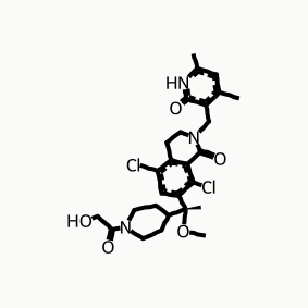 CO[C@@](C)(c1cc(Cl)c2c(c1Cl)C(=O)N(Cc1c(C)cc(C)[nH]c1=O)CC2)C1CCN(C(=O)CO)CC1